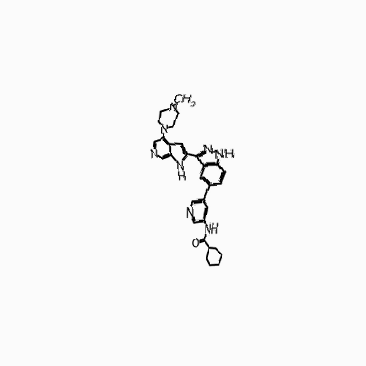 CN1CCN(c2cncc3[nH]c(-c4n[nH]c5ccc(-c6cncc(NC(=O)C7CCCCC7)c6)cc45)cc23)CC1